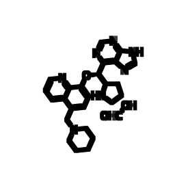 O=CO.c1cnc2c(O[C@@H](c3ncnc4[nH]cnc34)C3CCCN3)ccc(CN3CCCCC3)c2c1